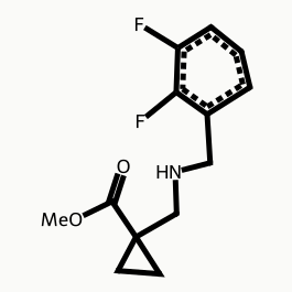 COC(=O)C1(CNCc2cccc(F)c2F)CC1